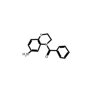 Nc1ccc2c(c1)N(C(=O)c1ccccc1)CCS2